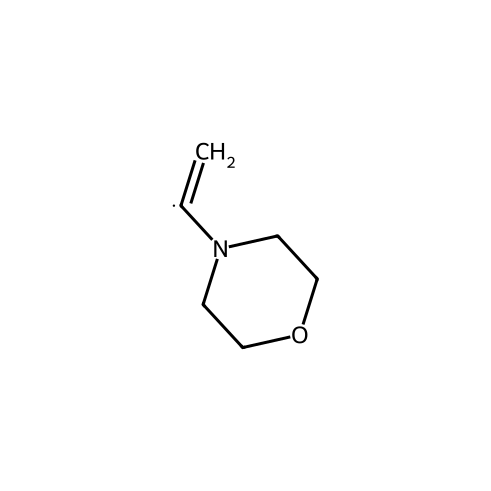 C=[C]N1CCOCC1